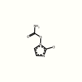 NC(=O)On1ccnc1Cl